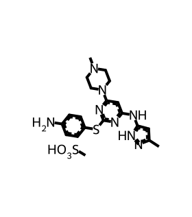 CS(=O)(=O)O.Cc1cc(Nc2cc(N3CCN(C)CC3)nc(Sc3ccc(N)cc3)n2)[nH]n1